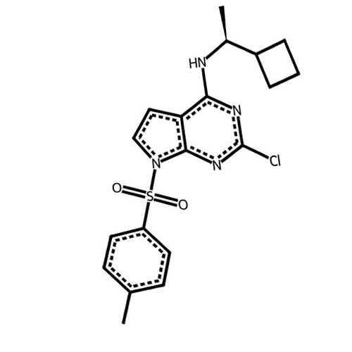 Cc1ccc(S(=O)(=O)n2ccc3c(N[C@@H](C)C4CCC4)nc(Cl)nc32)cc1